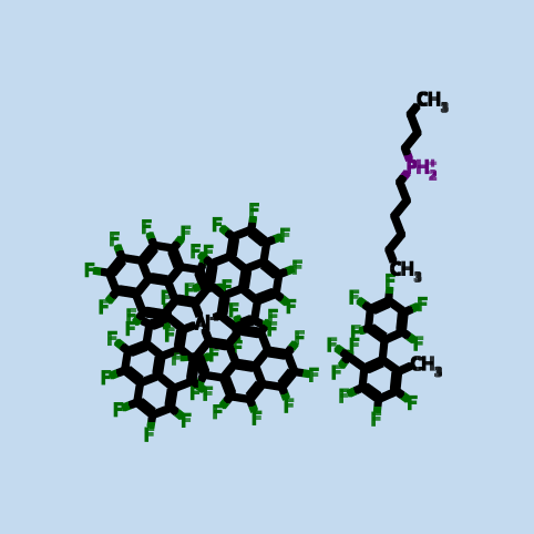 CCCCCC[PH2+]CCCC.Cc1c(F)c(F)c(F)c(C(F)(F)F)c1-c1c(F)c(F)c(F)c(F)c1F.Fc1c(F)c2c(F)c(F)c3c(F)c(F)[c]([Al-]([c]4c(F)c(F)c5c(F)c(F)c6c(F)c(F)c(F)c7c(F)c(F)c4c5c67)([c]4c(F)c(F)c5c(F)c(F)c6c(F)c(F)c(F)c7c(F)c(F)c4c5c67)[c]4c(F)c(F)c5c(F)c(F)c6c(F)c(F)c(F)c7c(F)c(F)c4c5c67)c4c(F)c(F)c(c1F)c2c34